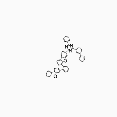 c1ccc(-c2cccc(-c3nc(-c4ccccc4)nc(-c4ccc5c(c4)oc4c(-c6ccccc6-c6ccc7c(c6)oc6ccccc67)cccc45)n3)c2)cc1